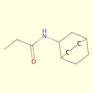 CCC(=O)NC1CC2CCC1CC2